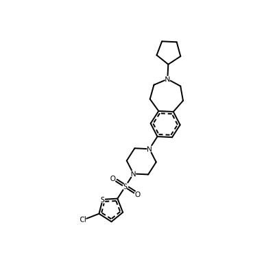 O=S(=O)(c1ccc(Cl)s1)N1CCN(c2ccc3c(c2)CCN(C2CCCC2)CC3)CC1